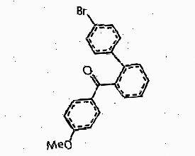 COc1ccc(C(=O)c2ccccc2-c2ccc(Br)cc2)cc1